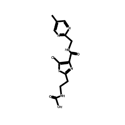 Cc1cnc(CNC(=O)c2nc(CCNC(=O)O)sc2Cl)nc1